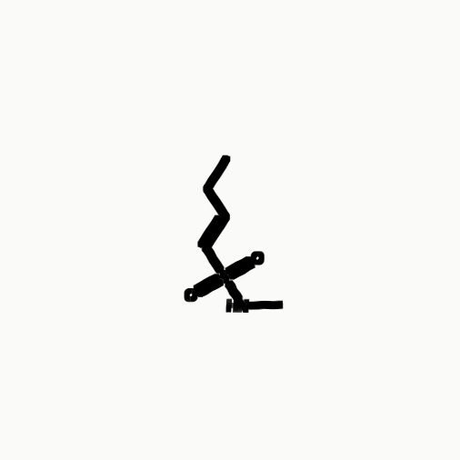 CC/C=C/S(=O)(=O)NC